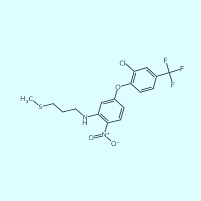 CSCCCNc1cc(Oc2ccc(C(F)(F)F)cc2Cl)ccc1[N+](=O)[O-]